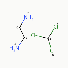 ClC(Cl)Cl.NCCN